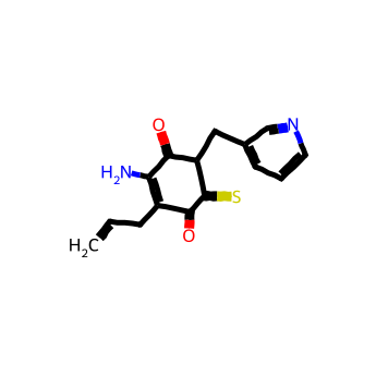 C=CCC1=C(N)C(=O)C(Cc2cccnc2)C(=S)C1=O